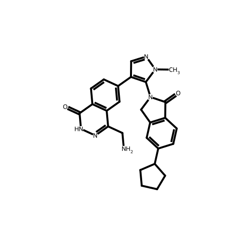 Cn1ncc(-c2ccc3c(=O)[nH]nc(CN)c3c2)c1N1Cc2cc(C3CCCC3)ccc2C1=O